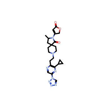 CC1CC2(CCN(CCc3ncc(-n4cnnn4)nc3C3CC3)CC2)C(=O)N1C1=CC(=O)OC1